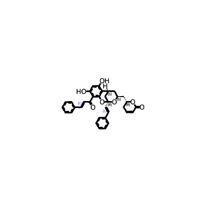 O=C1C=CC[C@H](C[C@@H]2C[C@H]3C[C@](/C=C/c4ccccc4)(Oc4c(C(=O)/C=C/c5ccccc5)c(O)cc(O)c43)O2)O1